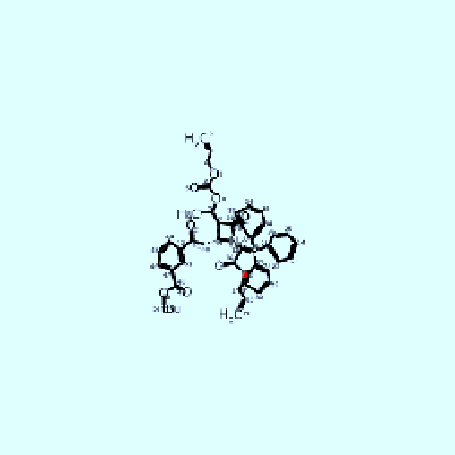 C=CCOC(=O)O[C@H](C)[C@H]1C(=O)N(C(C(=O)OCC=C)=P(c2ccccc2)(c2ccccc2)c2ccccc2)[C@@H]1CC(=O)c1cccc(C(=O)OC(C)(C)C)c1